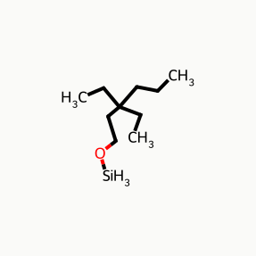 CCCC(CC)(CC)CCO[SiH3]